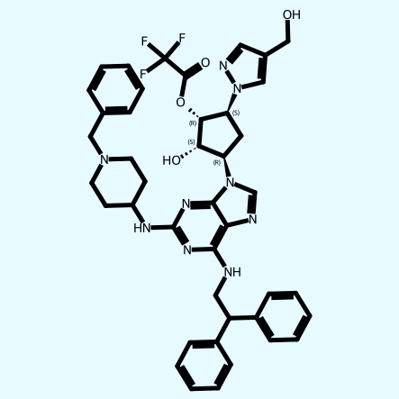 O=C(O[C@H]1[C@@H](O)[C@H](n2cnc3c(NCC(c4ccccc4)c4ccccc4)nc(NC4CCN(Cc5ccccc5)CC4)nc32)C[C@@H]1n1cc(CO)cn1)C(F)(F)F